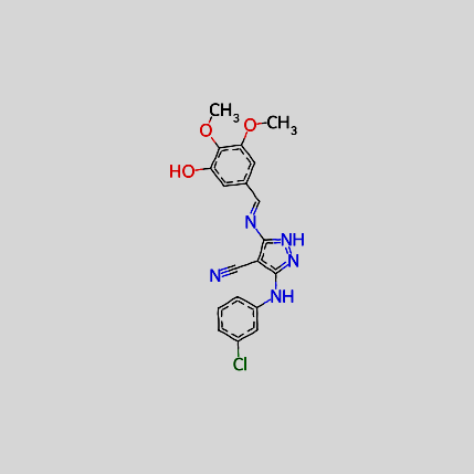 COc1cc(/C=N/c2[nH]nc(Nc3cccc(Cl)c3)c2C#N)cc(O)c1OC